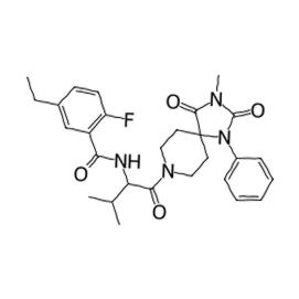 CCc1ccc(F)c(C(=O)NC(C(=O)N2CCC3(CC2)C(=O)N(C)C(=O)N3c2ccccc2)C(C)C)c1